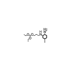 CCNc1ccc(I)cc1NCCCOC(OCC)OCC